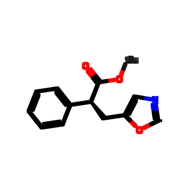 CC(C)(C)OC(=O)[C@@H](Cc1cn[c]o1)c1ccccc1